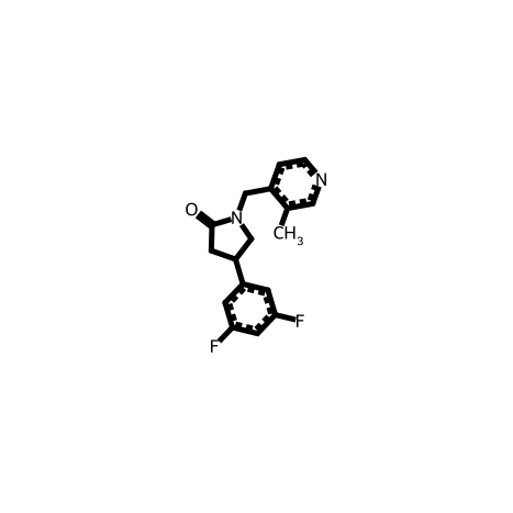 Cc1cnccc1CN1CC(c2cc(F)cc(F)c2)CC1=O